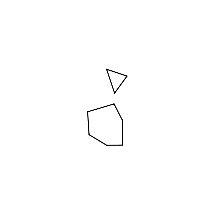 C1CC1.C1CCCCC1